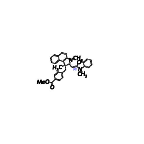 COC(=O)c1ccc(CC2(C)C(/C=C3\Oc4ccccc4N3C)=[N+](C)c3ccc4ccccc4c32)cc1